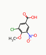 COc1c(Cl)cc(C(=O)O)cc1[N+](=O)[O-]